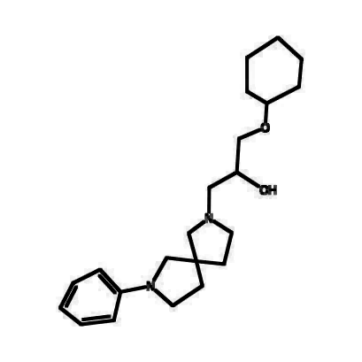 OC(COC1CCCCC1)CN1CCC2(CCN(c3ccccc3)C2)C1